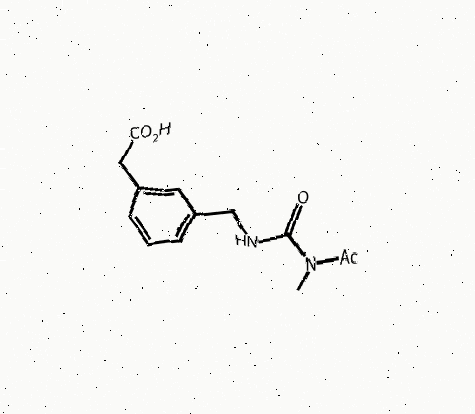 CC(=O)N(C)C(=O)NCc1cccc(CC(=O)O)c1